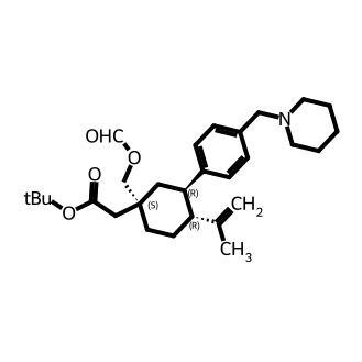 C=C(C)[C@@H]1CC[C@@](COC=O)(CC(=O)OC(C)(C)C)C[C@H]1c1ccc(CN2CCCCC2)cc1